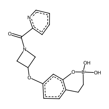 O=C(c1ccccn1)N1CC(Oc2ccc3c(c2)O[B-](O)(O)CC3)C1